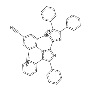 N#Cc1cc(C#N)c(-n2c(-c3nc(-c4ccccc4)c(-c4ccccc4)[nH]3)nc(-c3ccccc3)c2-c2ccccc2)c(C#N)c1